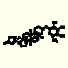 C[C@@H]1OC(O[C@H]2CC[C@@]3(C)[C@H](CC[C@@H]4[C@@H]3CC[C@]3(C)[C@@H](C5=CC(=O)OC5)CC[C@@H]43)C2)[C@H](O)[C@H](O)[C@H]1O